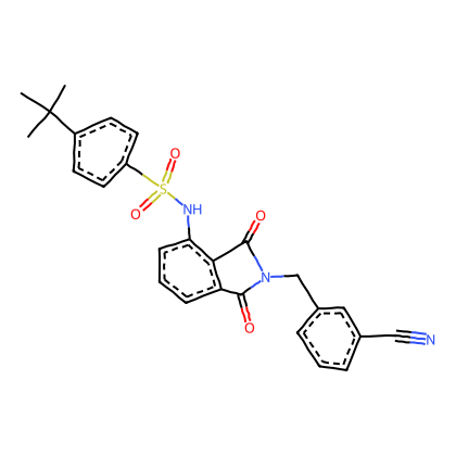 CC(C)(C)c1ccc(S(=O)(=O)Nc2cccc3c2C(=O)N(Cc2cccc(C#N)c2)C3=O)cc1